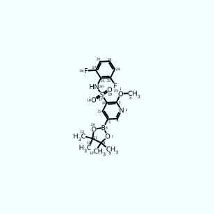 COc1ncc(B2OC(C)(C)C(C)(C)O2)cc1S(=O)(=O)Nc1c(F)cccc1F